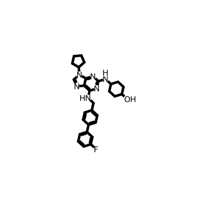 OC1CCC(Nc2nc(NCc3ccc(-c4cccc(F)c4)cc3)c3ncn(C4CCCC4)c3n2)CC1